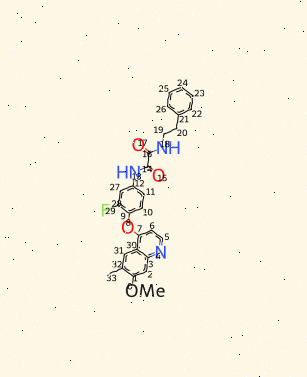 COc1cc2nccc(Oc3ccc(NC(=O)C(=O)NCCc4ccccc4)cc3F)c2cc1C